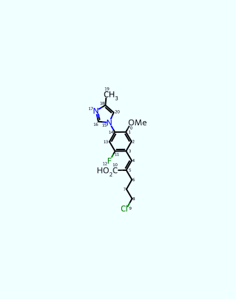 COc1cc(/C=C(/CCCCl)C(=O)O)c(F)cc1-n1cnc(C)c1